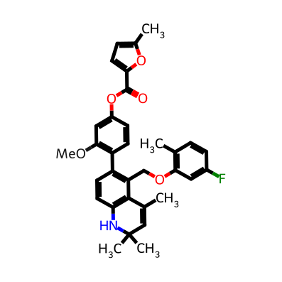 COc1cc(OC(=O)c2ccc(C)o2)ccc1-c1ccc2c(c1COc1cc(F)ccc1C)C(C)=CC(C)(C)N2